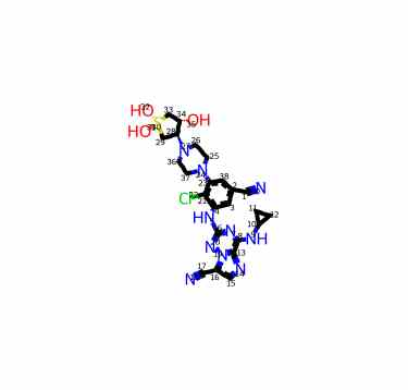 N#Cc1cc(Nc2nc(NC3CC3)c3ncc(C#N)n3n2)c(Cl)c(N2CCN([C@H]3CS(O)(O)C[C@@H]3O)CC2)c1